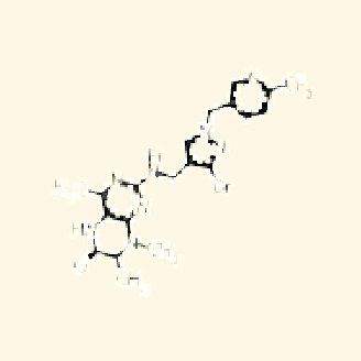 Cc1nc(NCc2cn(Cc3ccc(C(F)(F)F)nc3)nc2Br)nc2c1NC(=O)C(C)N2C